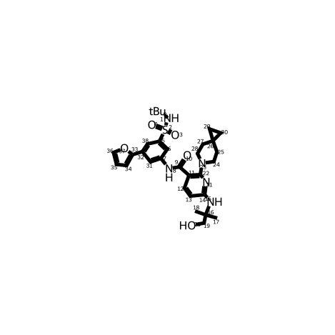 CC(C)(C)NS(=O)(=O)c1cc(NC(=O)c2ccc(NC(C)(C)CO)nc2N2CCC3(CC2)CC3)cc(-c2ccco2)c1